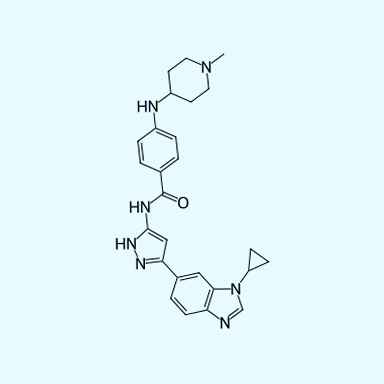 CN1CCC(Nc2ccc(C(=O)Nc3cc(-c4ccc5ncn(C6CC6)c5c4)n[nH]3)cc2)CC1